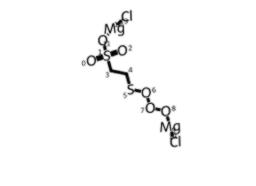 O=S(=O)(CCSOO[O][Mg][Cl])[O][Mg][Cl]